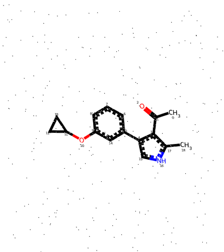 CC(=O)c1c(-c2cccc(OC3CC3)c2)c[nH]c1C